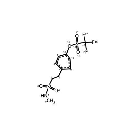 CNS(=O)(=O)CCc1ccc(OS(=O)(=O)C(F)(F)F)cc1